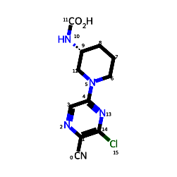 N#Cc1ncc(N2CCC[C@@H](NC(=O)O)C2)nc1Cl